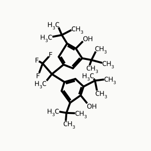 CC(C)(C)c1cc(C(C)(c2cc(C(C)(C)C)c(O)c(C(C)(C)C)c2)C(F)(F)F)cc(C(C)(C)C)c1O